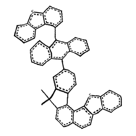 CC1(C)c2cc(-c3c4ccccc4c(-c4cccc5sc6ccccc6c45)c4ccccc34)ccc2-c2c1ccc1ccc3c4ccccc4sc3c21